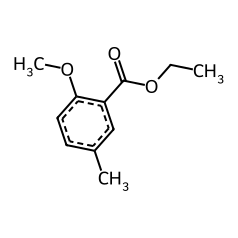 CCOC(=O)c1cc(C)ccc1OC